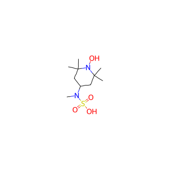 CN(C1CC(C)(C)N(O)C(C)(C)C1)S(=O)(=O)O